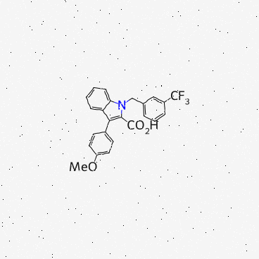 COc1ccc(-c2c(C(=O)O)n(Cc3cccc(C(F)(F)F)c3)c3ccccc23)cc1